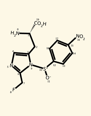 N[C@@H](Cc1cnc(CF)n1[S+]([O-])c1ccc([N+](=O)[O-])cc1)C(=O)O